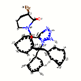 O=C1C(Br)CCN1Cc1nnnn1C(c1ccccc1)(c1ccccc1)c1ccccc1